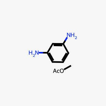 COC(C)=O.Nc1cccc(N)c1